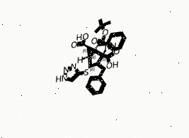 CC(C)(C)OC(=O)N[C@@]1(C(=O)O)C(Cc2ccccc2)[C@H](Sc2c[nH]nn2)[C@@H]2[C@@H](C(=O)O)[C@]21Cc1ccccc1